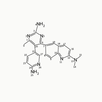 Cc1nc(N)nc(-c2ccc3nc(N(C)C)ccc3c2)c1-c1ccc(N)nc1